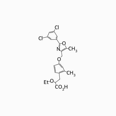 CCOC(Cc1ccc(OCc2nc(-c3cc(Cl)cc(Cl)c3)oc2C)cc1C)C(=O)O